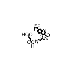 CN(C)CCC1CN(C)C(=O)c2cnc3cc(C(F)(F)F)ccc3c2O1.O=C(O)C=CC(=O)O